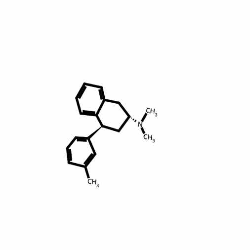 Cc1cccc([C@@H]2C[C@@H](N(C)C)Cc3ccccc32)c1